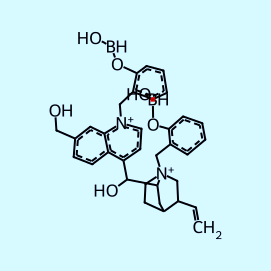 C=CC1C[N+]2(Cc3ccccc3OBO)CCC1CC2C(O)c1cc[n+](Cc2ccccc2OBO)c2cc(CO)ccc12